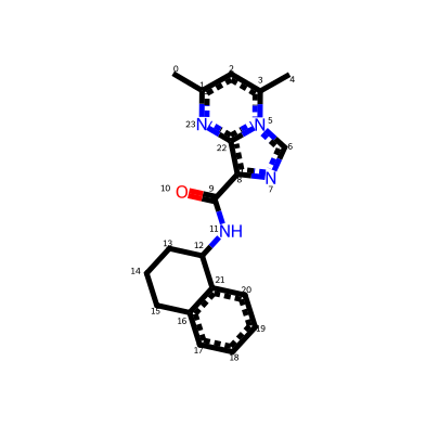 Cc1cc(C)n2cnc(C(=O)NC3CCCc4ccccc43)c2n1